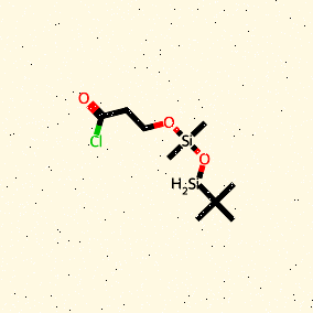 CC(C)(C)[SiH2]O[Si](C)(C)OCCC(=O)Cl